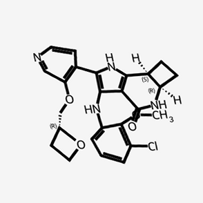 COc1c(Cl)cccc1Nc1c(-c2ccncc2OC[C@H]2CCO2)[nH]c2c1C(=O)N[C@@H]1CC[C@H]21